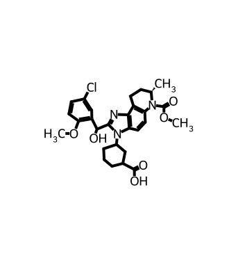 COC(=O)N1c2ccc3c(nc(C(O)c4cc(Cl)ccc4OC)n3C3CCCC(C(=O)O)C3)c2CC[C@@H]1C